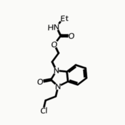 CCNC(=O)OCCn1c(=O)n(CCCl)c2ccccc21